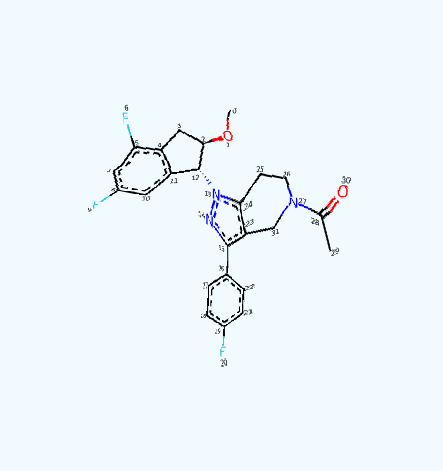 CO[C@@H]1Cc2c(F)cc(F)cc2[C@H]1n1nc(-c2ccc(F)cc2)c2c1CCN(C(C)=O)C2